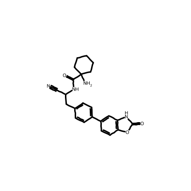 N#CC(Cc1ccc(-c2ccc3oc(=O)[nH]c3c2)cc1)NC(=O)C1(N)CCCCC1